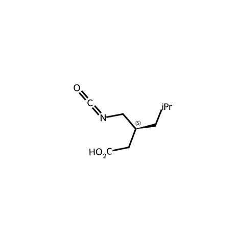 CC(C)C[C@H](CN=C=O)CC(=O)O